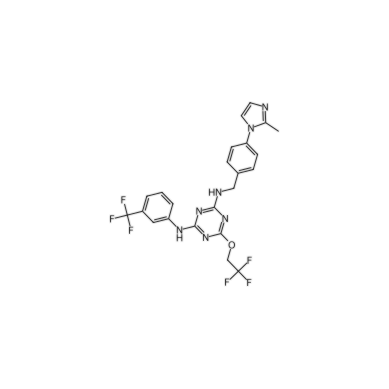 Cc1nccn1-c1ccc(CNc2nc(Nc3cccc(C(F)(F)F)c3)nc(OCC(F)(F)F)n2)cc1